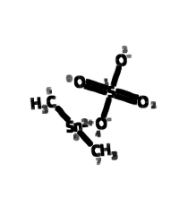 O=S(=O)([O-])[O-].[CH3][Sn+2][CH3]